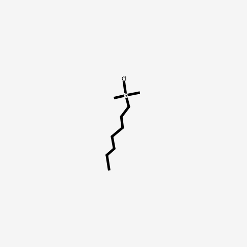 CCCCCCCS(C)(C)Cl